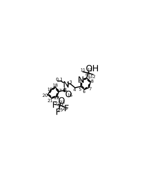 CCN(CCc1cccc(C(C)(C)O)n1)C(=O)c1ccccc1OC(F)(F)F